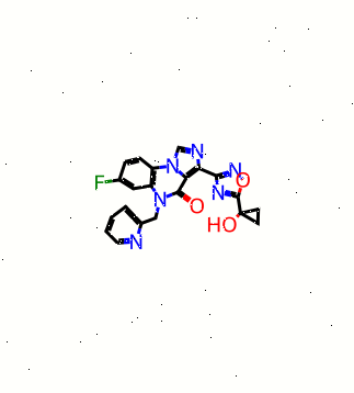 O=c1c2c(-c3noc(C4(O)CC4)n3)ncn2c2ccc(F)cc2n1Cc1ccccn1